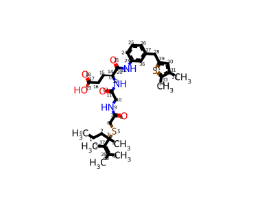 CCCC(C)(SCC(=O)NCC(=O)N[C@@H](CCC(=O)O)C(=O)Nc1cccc(Cc2cc(C)c(C)s2)c1)C(C)=C(C)C